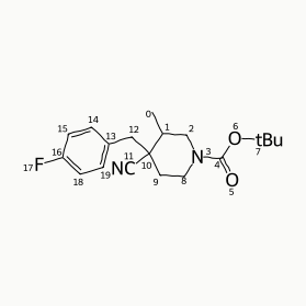 CC1CN(C(=O)OC(C)(C)C)CCC1(C#N)Cc1ccc(F)cc1